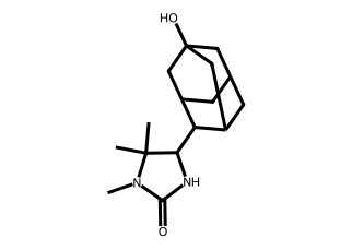 CN1C(=O)NC(C2C3CC4CC2CC(O)(C4)C3)C1(C)C